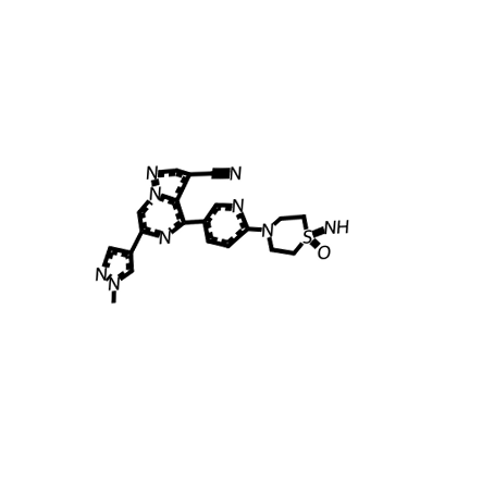 Cn1cc(-c2cn3ncc(C#N)c3c(-c3ccc(N4CCS(=N)(=O)CC4)nc3)n2)cn1